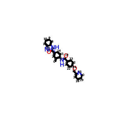 Cc1cc(C(=O)Nc2ccccc2N)ccc1NC(=O)c1ccc(OCc2ccccn2)cc1